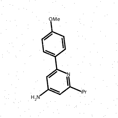 COc1ccc(-c2cc(N)cc(C(C)C)n2)cc1